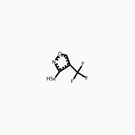 FC(F)(F)c1conc1[SeH]